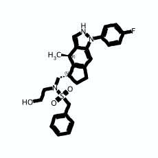 C[C@H]1C2=CNN(c3ccc(F)cc3)C2=CC2=C1[C@@H](CN(CCO)S(=O)(=O)Cc1ccccc1)CC2